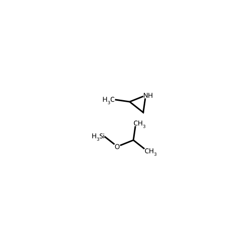 CC(C)O[SiH3].CC1CN1